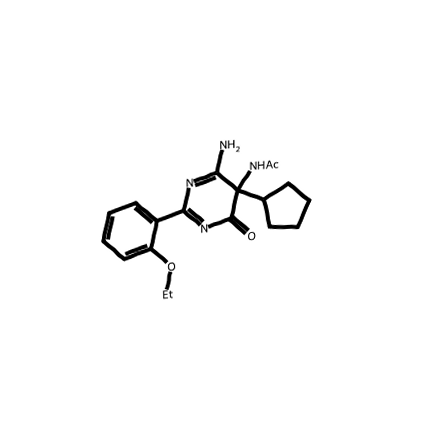 CCOc1ccccc1C1=NC(=O)C(NC(C)=O)(C2CCCC2)C(N)=N1